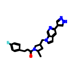 CC1CC(Cn2ccc3cc(-c4cn[nH]c4)ncc32)CN1C(=O)CCc1ccc(F)cc1